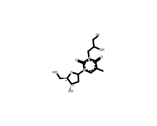 Cc1cn(C2C[C@H](O)[C@@H](CO)O2)c(=O)n(CC(O)C[18F])c1=O